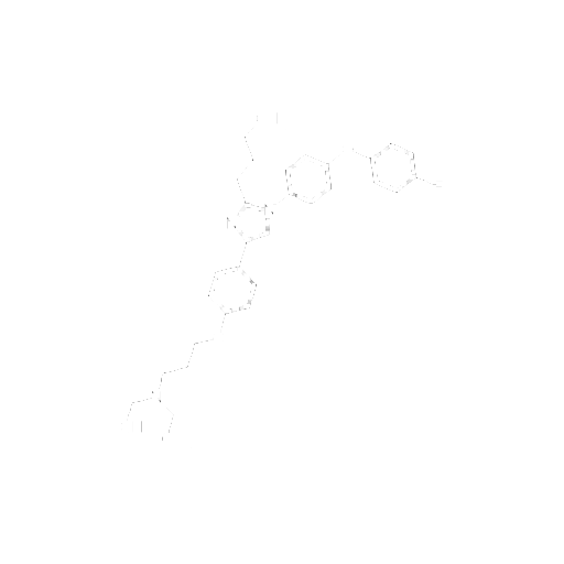 CCCCc1nc(-c2ccc(OCCCN(CC)CC)cc2)cn1-c1ccc(Oc2ccc(F)cc2)cc1